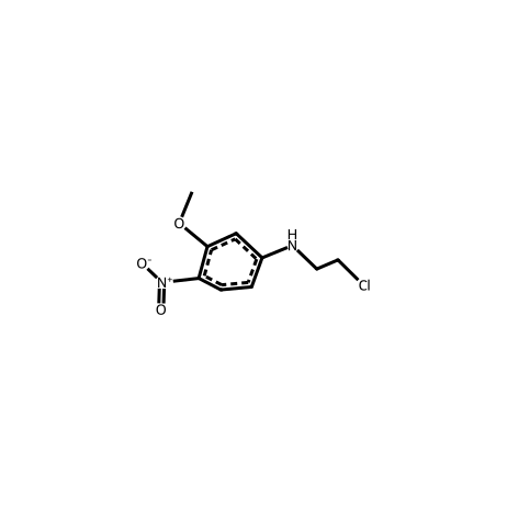 COc1cc(NCCCl)ccc1[N+](=O)[O-]